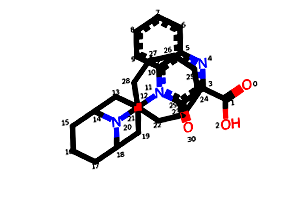 O=C(O)c1nc2ccccc2n(C2CC3CCCC(C2)N3C2CCCCCCC2)c1=O